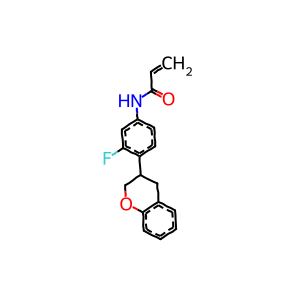 C=CC(=O)Nc1ccc(C2COc3ccccc3C2)c(F)c1